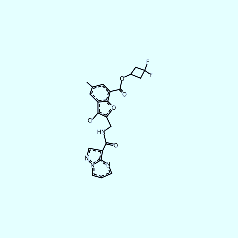 Cc1cc(C(=O)OC2CC(F)(F)C2)c2oc(CNC(=O)c3cnn4cccnc34)c(Cl)c2c1